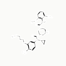 COCCCOc1cc(N(C(=O)[C@H]2CNC[C@@H](C(=O)Nc3c(C)cccc3OC)C2)C2CC2)ccc1C